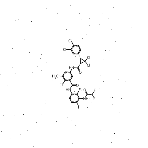 Cc1cc(NC(=O)[C@H]2[C@H](c3ccc(Cl)c(Cl)c3)C2(Cl)Cl)cc(C(=O)Nc2ccc(F)c(NC(=O)C(F)F)c2F)c1Cl